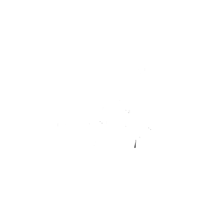 C[C@H](N)C(=O)N[C@@H](CCC(=O)O)C(=O)N[C@@H](CO)C(=O)O